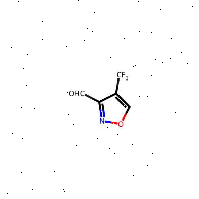 O=Cc1nocc1C(F)(F)F